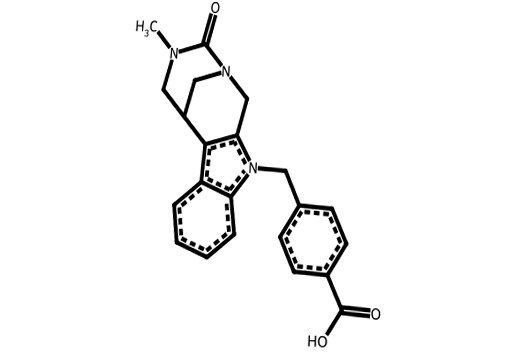 CN1CC2CN(Cc3c2c2ccccc2n3Cc2ccc(C(=O)O)cc2)C1=O